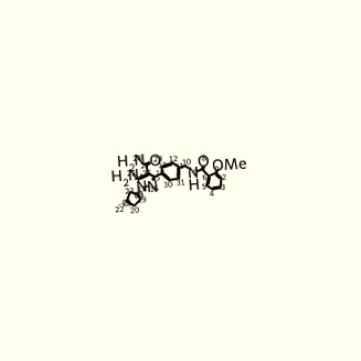 COc1ccccc1C(=O)NCc1ccc(-c2nn([C@H]3CC[C@H](C)C3)c(N)c2C(N)=O)cc1